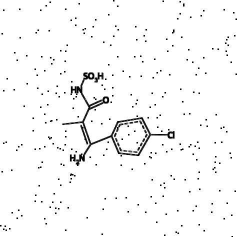 CC(C(=O)NS(=O)(=O)O)=C(N)c1ccc(Cl)cc1